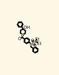 CCN(CC)S(=O)(=O)N(Cc1ccccc1)c1ccc(C(=O)N2CCC(O)(c3ccccc3)CC2)cc1